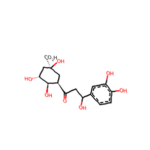 O=C(CC(O)c1ccc(O)c(O)c1)[C@@H]1C[C@@](O)(C(=O)O)C[C@@H](O)[C@@H]1O